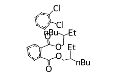 CCCCC(CC)COC(=O)c1ccccc1C(=O)OCC(CC)CCCC.Clc1ccccc1Cl